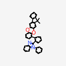 CC1(C)c2ccccc2-c2cc3c(cc21)Oc1c(cccc1-c1ccccc1-c1nc2ccccc2n1-c1ccccc1)O3